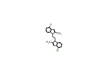 CC1=Cc2c(Cl)cccc2C1CCC1C(C)=Cc2c(Br)cccc21